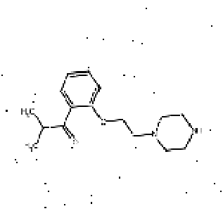 CC(C)C(=O)c1ccccc1OCCN1CCNCC1